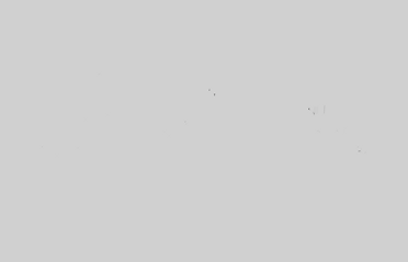 CCOc1cc(/C=C2/N=C(c3ccc(NC(=O)OC(C)(C)C)cc3)OC2=O)ccc1OC(=O)c1cccs1